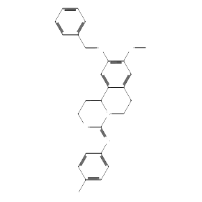 COc1cc2c(cc1OCc1ccccc1)C1CCO/C(=N\c3ccc(C)cc3)N1CC2